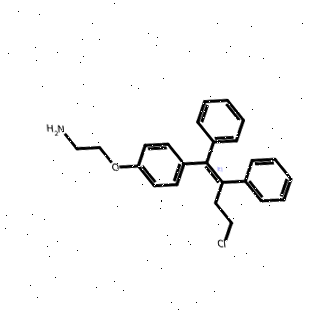 NCCOc1ccc(/C(=C(\CCCl)c2ccccc2)c2ccccc2)cc1